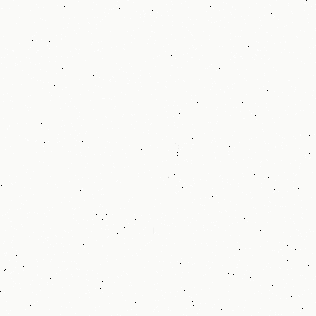 Cc1ccc(OCOc2cccc(C)c2)cc1